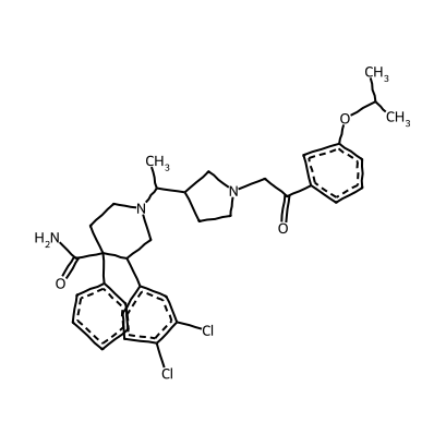 CC(C)Oc1cccc(C(=O)CN2CCC(C(C)N3CCC(C(N)=O)(c4ccccc4)C(c4ccc(Cl)c(Cl)c4)C3)C2)c1